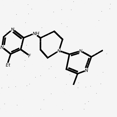 CCc1ncnc(NC2CCN(c3cc(C)nc(C)n3)CC2)c1F